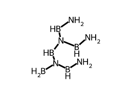 BN(BN)BN(BN)BN